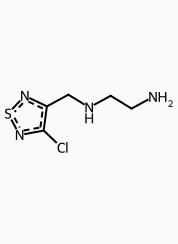 NCCNCc1nsnc1Cl